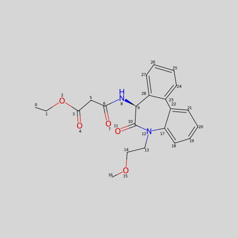 CCOC(=O)CC(=O)N[C@@H]1C(=O)N(CCOC)c2ccccc2-c2ccccc21